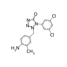 Cc1cc(Cn2nnc(=O)n2-c2cc(Cl)cc(Cl)c2)ccc1N